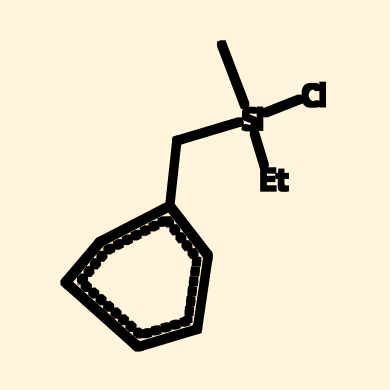 CC[Si](C)(Cl)Cc1ccccc1